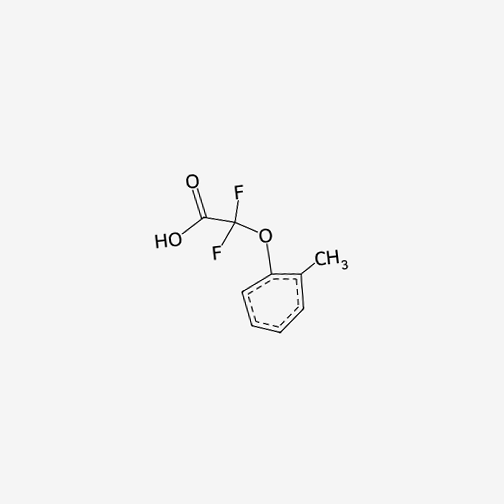 Cc1ccccc1OC(F)(F)C(=O)O